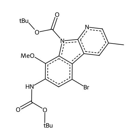 COc1c(NC(=O)OC(C)(C)C)cc(Br)c2c3cc(C)cnc3n(C(=O)OC(C)(C)C)c12